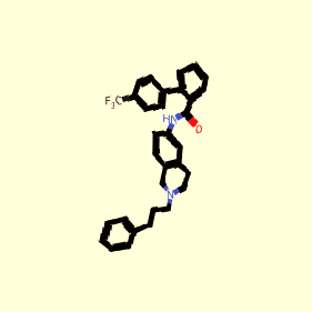 O=C(Nc1ccc2c(c1)CCN(CCCc1ccccc1)C2)c1ccccc1-c1ccc(C(F)(F)F)cc1